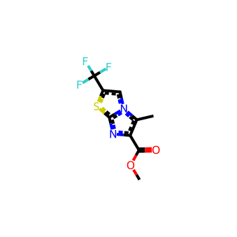 COC(=O)c1nc2sc(C(F)(F)F)cn2c1C